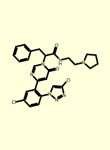 O=C(NCCN1CCCC1)C(Cc1ccccc1)n1cnc(-c2cc(Cl)ccc2-n2cc(Cl)nn2)cc1=O